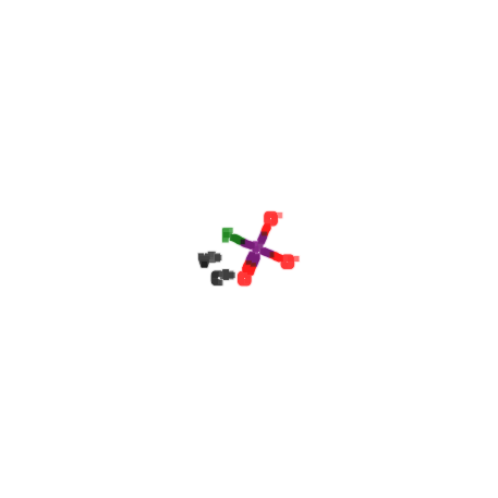 O=P([O-])([O-])F.[C+4].[V+5]